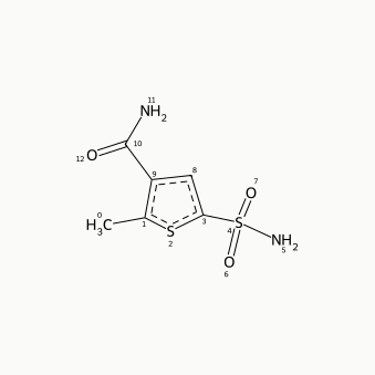 Cc1sc(S(N)(=O)=O)cc1C(N)=O